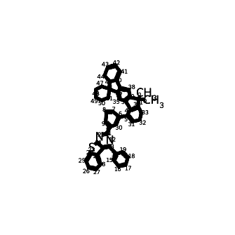 CC1(C)C2=C(C(c3cccc(-c4nc(-c5ccccc5)c5c(n4)sc4ccccc45)c3)=CCC2)c2cc3c(cc21)C1=CC=CCC1C31CCCCC1